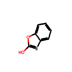 Oc1bc2ccccc2o1